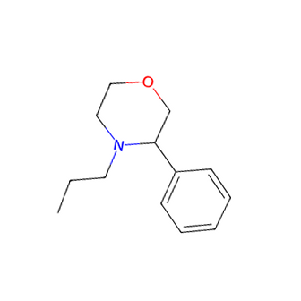 CCCN1CCOCC1c1ccccc1